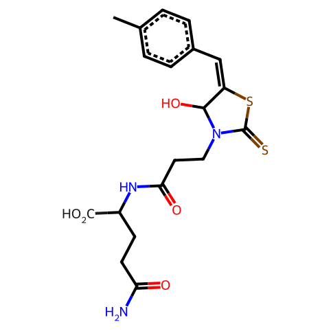 Cc1ccc(/C=C2/SC(=S)N(CCC(=O)NC(CCC(N)=O)C(=O)O)C2O)cc1